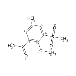 COc1c(C(N)=O)cccc1S(C)(=O)=O.Cl